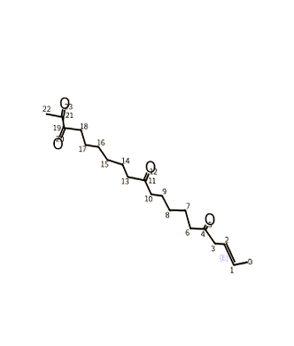 C/C=C/CC(=O)CCCCCC(=O)CCCCCCC(=O)C(C)=O